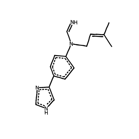 CC(C)=CCN(C=N)c1ccc(-c2c[nH]cn2)cc1